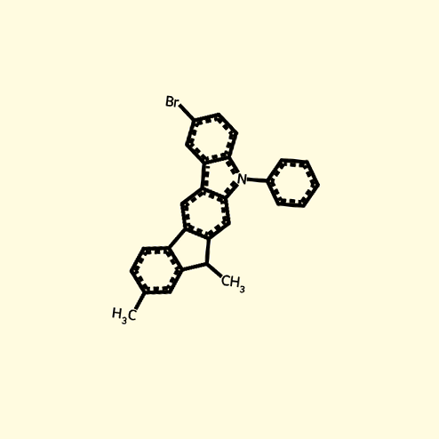 Cc1ccc2c(c1)C(C)c1cc3c(cc1-2)c1cc(Br)ccc1n3-c1ccccc1